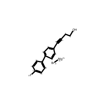 OCCC#Cc1ccc(-c2ccc(F)cc2)cc1.[Mg+2][Br]